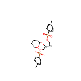 Cc1ccc(S(=O)(=O)OC[C@H](C)[C@@H](COS(=O)(=O)c2ccc(C)cc2)OC2CCCCO2)cc1